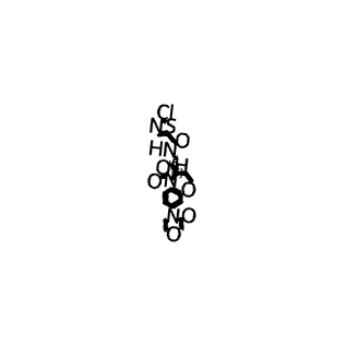 O=C(NC[C@@H]1OC(=O)N2c3ccc(N4CCOCC4=O)cc3OCC[C@@H]12)c1cnc(Cl)s1